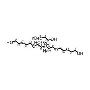 CCCCCCCCCCCCO.O=S(=O)(O)O.OCCOCCOCCOCCOCCOCCO.[NaH]